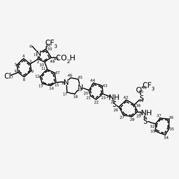 Cn1c(-c2ccc(Cl)cc2)c(-c2cccc(N3CCN(c4ccc(NSc5ccc(NSc6ccccc6)c(SOC(F)(F)F)c5)cc4)CC3)c2)c(C(=O)O)c1C(F)(F)F